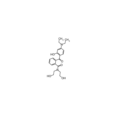 CCN(CC)c1ccc(C(=O)c2ccccc2C(=O)N(CCO)CCO)c(O)c1